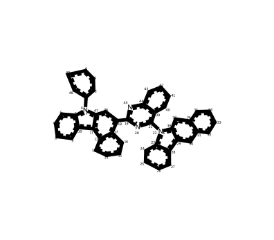 c1ccc(-n2c3ccccc3c3c4ccccc4c(-c4nc(-n5c6ccccc6c6cc7ccccc7cc65)c5ccccc5n4)cc32)cc1